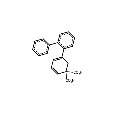 O=C(O)C1(C(=O)O)C=CC=C(c2ccccc2-c2ccccc2)C1